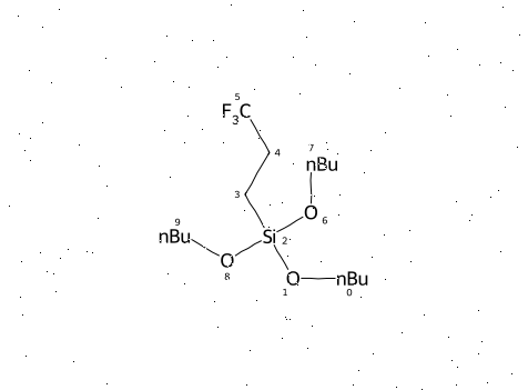 CCCCO[Si](CCC(F)(F)F)(OCCCC)OCCCC